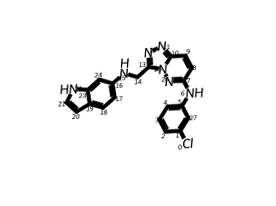 Clc1cccc(Nc2ccc3nnc(CNc4ccc5cc[nH]c5c4)n3n2)c1